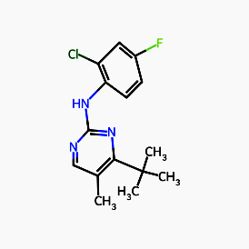 Cc1cnc(Nc2ccc(F)cc2Cl)nc1C(C)(C)C